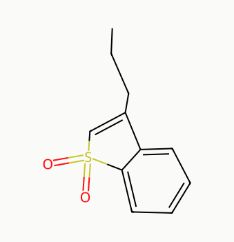 CCCC1=CS(=O)(=O)c2ccccc21